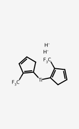 FC(F)(F)C1=[C]([Ti][C]2=C(C(F)(F)F)C=CC2)CC=C1.[H-].[H-]